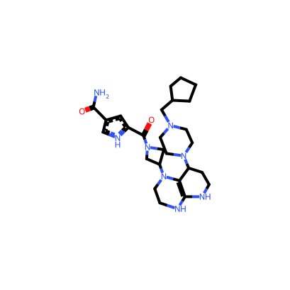 NC(=O)c1c[nH]c(C(=O)N2CC(N3CCNC4=C3C(N3CCN(CC5CCCC5)CC3)CCN4)C2)c1